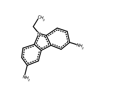 CCn1c2ccc(N)cc2c2cc(N)ccc21